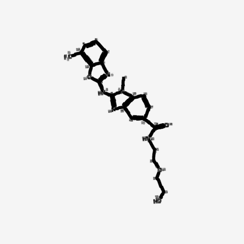 Cn1c(Nc2nc3cccc(C(F)(F)F)c3o2)nc2cc(C(=O)NCCOCCO)ccc21